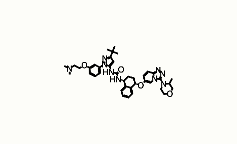 CC1COCCN1c1nnc2ccc(O[C@@H]3CC[C@H](NC(=O)Nc4cc(C(C)(C)C)nn4-c4cccc(OCCN(C)C)c4)c4ccccc43)cn12